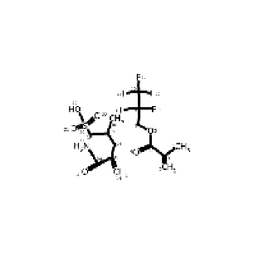 C=C(C)C(=O)OCC(F)(F)C(F)(F)F.C=C(CC(C)CS(=O)(=O)O)C(N)=O